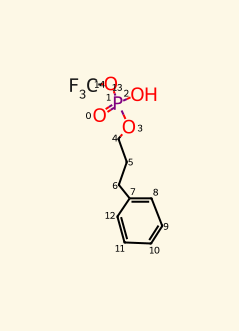 O=P(O)(OCCCc1ccccc1)OC(F)(F)F